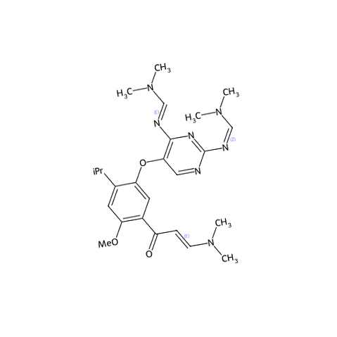 COc1cc(C(C)C)c(Oc2cnc(/N=C\N(C)C)nc2/N=C/N(C)C)cc1C(=O)/C=C/N(C)C